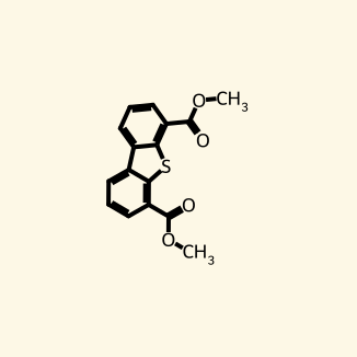 COC(=O)c1cccc2c1sc1c(C(=O)OC)cccc12